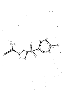 NC(=O)[C@@H]1CCN(S(=O)(=O)c2ccc(Cl)nc2)C1